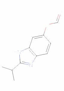 CC(C)c1nc2ccc(OC=O)cc2[nH]1